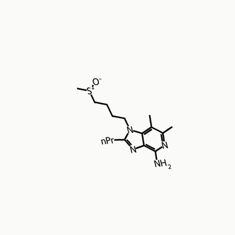 CCCc1nc2c(N)nc(C)c(C)c2n1CCCC[S+](C)[O-]